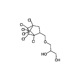 OCC(O)COCC1CC2(Cl)C(Cl)=C(Cl)C1(Cl)C2(Cl)Cl